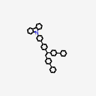 C(=C(/c1ccc(-c2ccccc2)cc1)c1ccc(-c2ccc(-n3c4ccccc4c4ccccc43)cc2)cc1)/c1ccc(-c2ccccc2)cc1